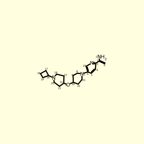 C=C(N)c1ccc(N2CCC(OC3CCN(C4CCC4)CC3)CC2)cn1